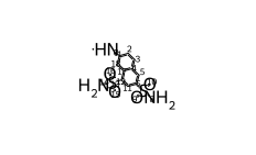 [NH]c1ccc2cc(S(N)(=O)=O)cc(S(N)(=O)=O)c2c1